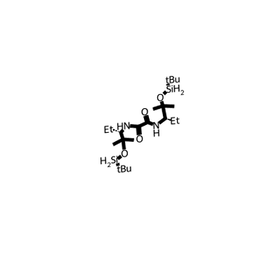 CC[C@H](NC(=O)C(=O)N[C@@H](CC)C(C)(C)O[SiH2]C(C)(C)C)C(C)(C)O[SiH2]C(C)(C)C